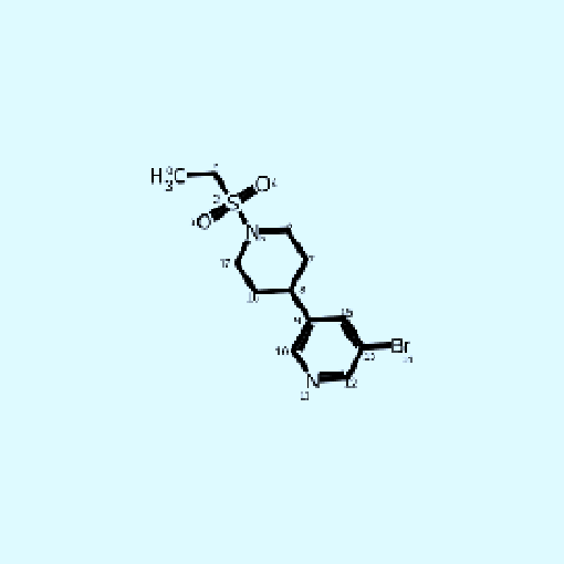 CCS(=O)(=O)N1CCC(c2cncc(Br)c2)CC1